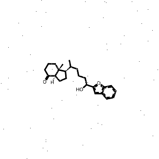 CC(CCCC(O)c1cc2ccccc2o1)[C@H]1CC[C@H]2C(=O)CCC[C@]12C